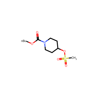 CCCCOC(=O)N1CCC(OS(C)(=O)=O)CC1